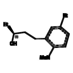 CCc1ccc(NC)c(CC[C@@H](O)CC)c1